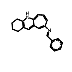 C1=CC(N=Cc2ccccc2)=CC2=CC3=C(CCCC3)NC2=C1